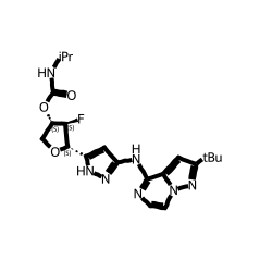 CC(C)NC(=O)O[C@H]1CO[C@@H](c2cc(Nc3nccn4nc(C(C)(C)C)cc34)n[nH]2)[C@@H]1F